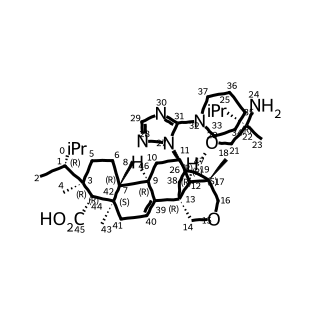 CC(C)[C@@H](C)[C@@]1(C)CC[C@]2(C)[C@H]3CC[C@@H]4[C@@]5(COC[C@@]4(C)[C@@H](OC[C@](C)(N)C(C)C)[C@H](n4ncnc4N4CCCCC4)C5)C3=CC[C@@]2(C)[C@@H]1C(=O)O